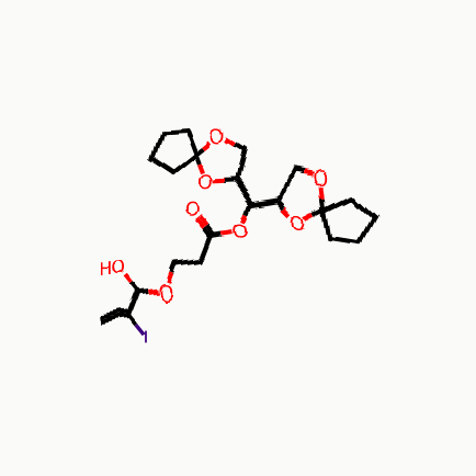 C=C(I)C(O)OCCC(=O)OC(C1COC2(CCCC2)O1)C1COC2(CCCC2)O1